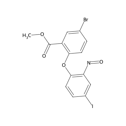 COC(=O)c1cc(Br)ccc1Oc1ccc(I)cc1N=O